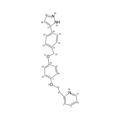 c1ccc(CCOc2ccc(OCc3ccc(-c4ccn[nH]4)cc3)cc2)nc1